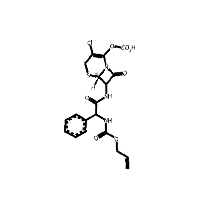 C=CCOC(=O)NC(C(=O)NC1C(=O)N2C(OC(=O)O)=C(Cl)CS[C@@H]12)c1ccccc1